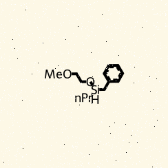 CCC[SiH](Cc1ccccc1)OCCOC